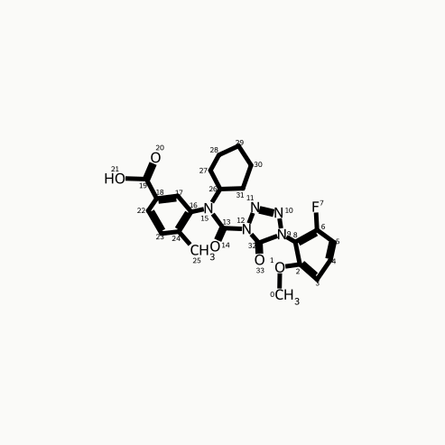 COc1cccc(F)c1-n1nnn(C(=O)N(c2cc(C(=O)O)ccc2C)C2CCCCC2)c1=O